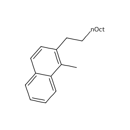 CCCCCCCCCCc1ccc2ccccc2c1C